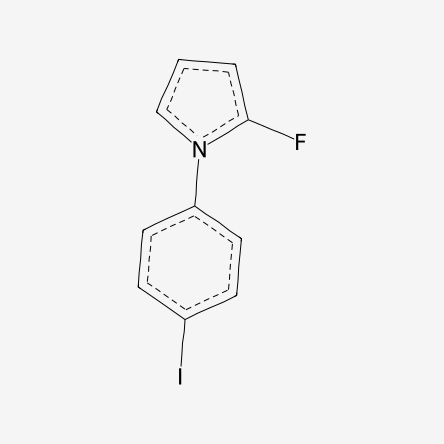 Fc1cccn1-c1ccc(I)cc1